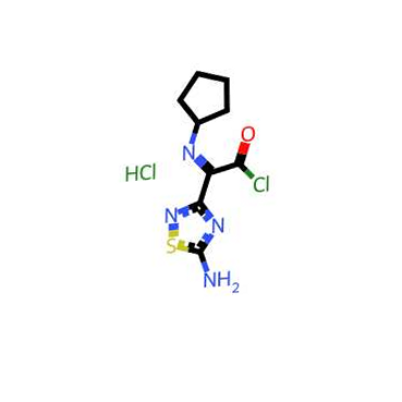 Cl.Nc1nc(/C(=N/C2CCCC2)C(=O)Cl)ns1